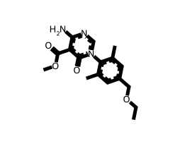 CCOCc1cc(C)c(-n2cnc(N)c(C(=O)OC)c2=O)c(C)c1